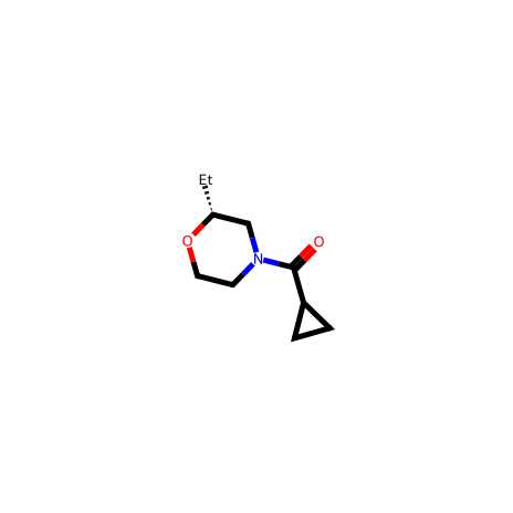 CC[C@@H]1CN(C(=O)C2CC2)CCO1